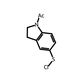 CC(=O)N1CCc2cc(SCl)ccc21